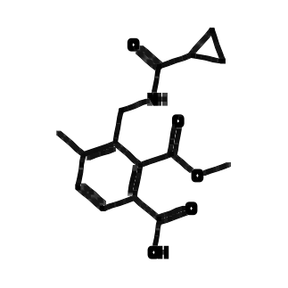 COC(=O)c1c(C(=O)O)ccc(C)c1CNC(=O)C1CC1